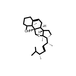 CC(C)[C@@H](C)/C=C/[C@@H](C)[C@H]1CC[C@H]2[C@@H]3CC=C4CCCC(O)[C@]4(C)[C@H]3CC[C@]12C